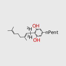 [2H]C([2H])(/C=C(\C)CCC=C(C)C)c1c(O)cc(CCCCC)cc1O